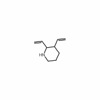 C=CC1CCCNC1C=C